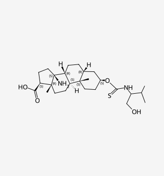 CC(C)C(CO)NC(=S)O[C@H]1CC[C@@]2(C)[C@H](CC[C@@H]3[C@@H]2CC[C@]2(C)[C@@H](C(=O)O)CC[C@]32N)C1